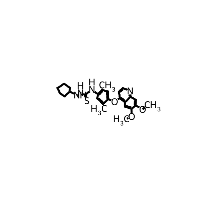 COc1cc2nccc(Oc3cc(C)c(NC(=S)NNC4CCCCC4)cc3C)c2cc1OC